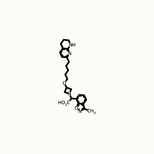 Cc1noc2c(C(C(=O)O)N3CC(OCCCCCc4ccc5c(n4)NCCC5)C3)cccc12